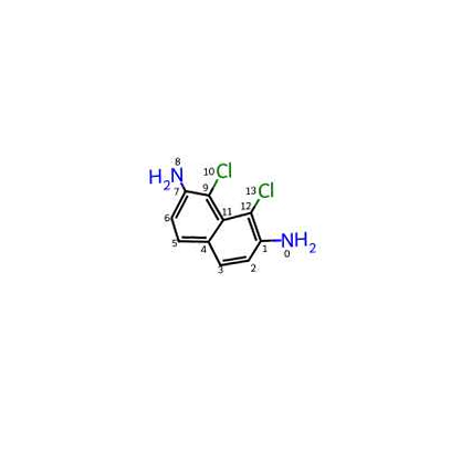 Nc1ccc2ccc(N)c(Cl)c2c1Cl